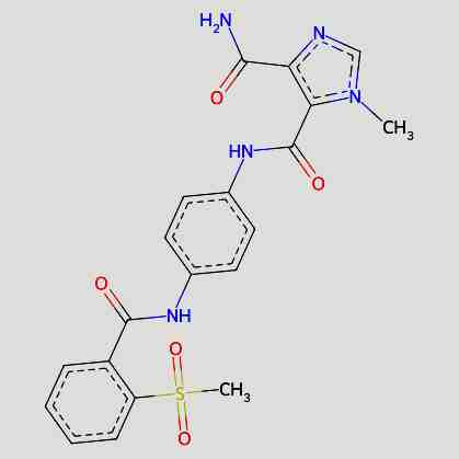 Cn1cnc(C(N)=O)c1C(=O)Nc1ccc(NC(=O)c2ccccc2S(C)(=O)=O)cc1